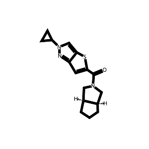 O=C(c1cc2nn(C3CC3)cc2s1)N1C[C@H]2CCC[C@H]2C1